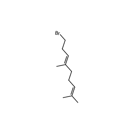 CC(C)=CCC/C(C)=C/CCBr